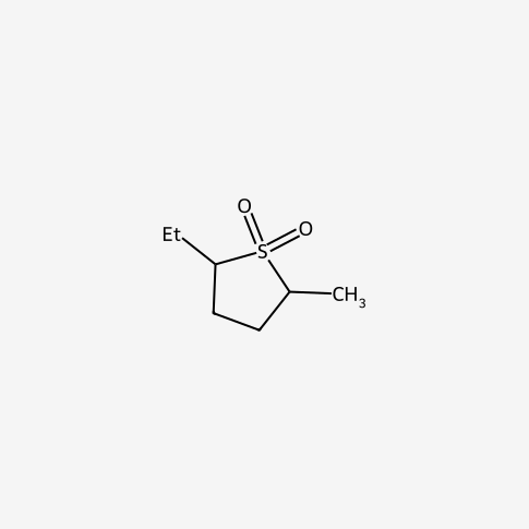 CCC1CCC(C)S1(=O)=O